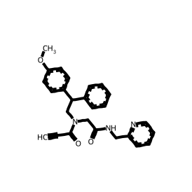 C#CC(=O)N(CC(=O)NCc1ccccn1)CC(c1ccccc1)c1ccc(OC)cc1